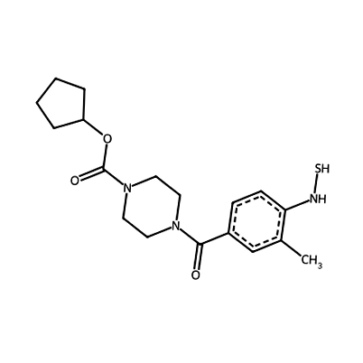 Cc1cc(C(=O)N2CCN(C(=O)OC3CCCC3)CC2)ccc1NS